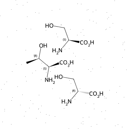 C[C@@H](O)[C@H](N)C(=O)O.N[C@@H](CO)C(=O)O.N[C@H](CO)C(=O)O